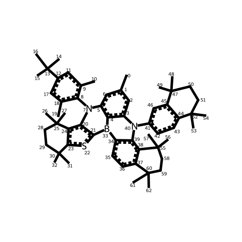 Cc1cc2c3c(c1)N(c1c(C)cc(C(C)(C)C)cc1C)c1c(sc4c1C(C)(C)CCC4(C)C)B3c1ccc3c(c1N2c1ccc2c(c1)C(C)(C)CCC2(C)C)C(C)(C)CCC3(C)C